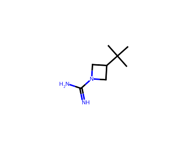 CC(C)(C)C1CN(C(=N)N)C1